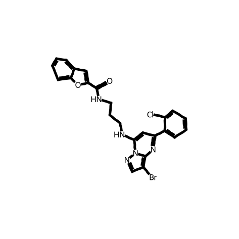 O=C(NCCCNc1cc(-c2ccccc2Cl)nc2c(Br)cnn12)c1cc2ccccc2o1